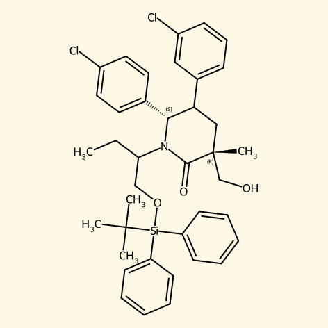 CCC(CO[Si](c1ccccc1)(c1ccccc1)C(C)(C)C)N1C(=O)[C@@](C)(CO)CC(c2cccc(Cl)c2)[C@H]1c1ccc(Cl)cc1